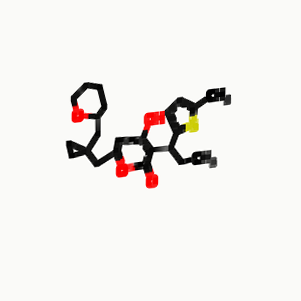 CCC(c1ccc(C)s1)c1c(O)cc(CC2(CC3CCCCO3)CC2)oc1=O